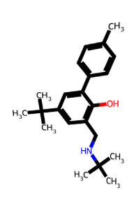 Cc1ccc(-c2cc(C(C)(C)C)cc(CNC(C)(C)C)c2O)cc1